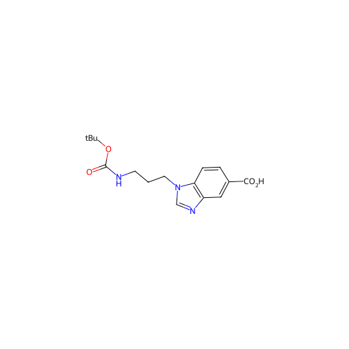 CC(C)(C)OC(=O)NCCCn1cnc2cc(C(=O)O)ccc21